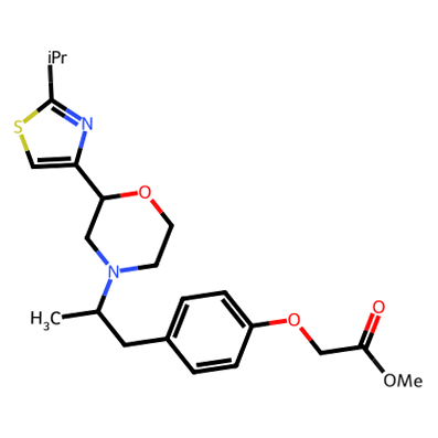 COC(=O)COc1ccc(CC(C)N2CCOC(c3csc(C(C)C)n3)C2)cc1